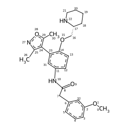 COc1cccc(CC(=O)Nc2ccc(OC[C@H]3CCCCN3)c(-c3c(C)noc3C)c2)c1